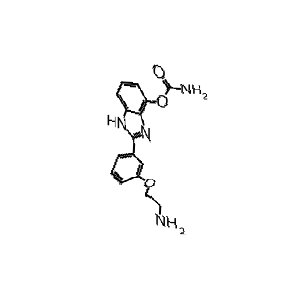 NCCOc1cccc(-c2nc3c(OC(N)=O)cccc3[nH]2)c1